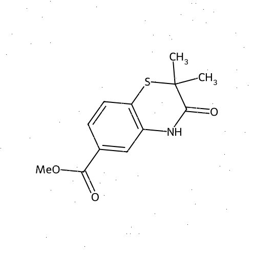 COC(=O)c1ccc2c(c1)NC(=O)C(C)(C)S2